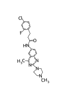 Cc1nc(N2CCN(C)CC2)nc2ccc(NC(=O)CCc3ccc(Cl)cc3F)cc12